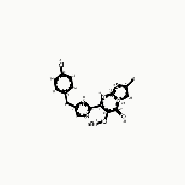 CCCCOc1c(-c2ncc(Cc3ccc(Cl)cc3)s2)nc2sc(C)cn2c1=O